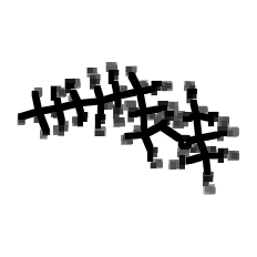 CC(C)(C)C(F)(F)C(F)(F)C(F)(F)C(F)(F)C(C)(F)C(F)(F)C(C)(F)C(F)OC(F)(C(F)(F)F)C(F)(F)F